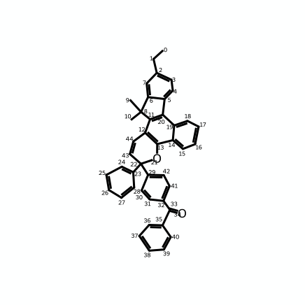 CCc1ccc2c(c1)C(C)(C)c1c3c(c4ccccc4c1-2)OC(c1ccccc1)(c1ccc(C(=O)c2ccccc2)cc1)C=C3